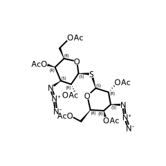 CC(=O)OC[C@H]1O[C@@H](S[C@@H]2O[C@H](COC(C)=O)[C@H](OC(C)=O)[C@H](N=[N+]=[N-])[C@H]2OC(C)=O)[C@H](OC(C)=O)[C@@H](N=[N+]=[N-])[C@H]1OC(C)=O